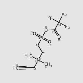 C#CC[N+](C)(C)CCS(=O)(=O)OC(=O)C(F)(F)F